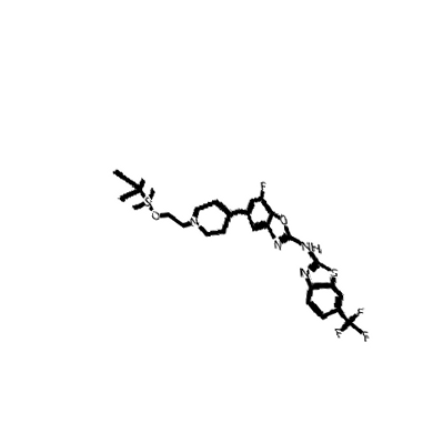 CC(C)(C)[Si](C)(C)OCCN1CCC(c2cc(F)c3oc(Nc4nc5ccc(C(F)(F)F)cc5s4)nc3c2)CC1